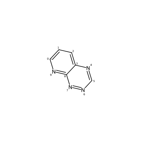 [c]1ccc2ncnnc2n1